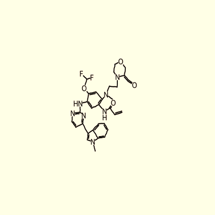 C=CC(=O)Nc1cc(Nc2nccc(-c3cn(C)c4ccccc34)n2)c(OC(F)F)cc1N(C)CCN1CCOCC1=C=O